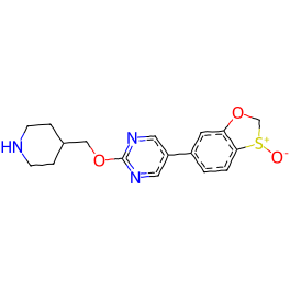 [O-][S+]1COc2cc(-c3cnc(OCC4CCNCC4)nc3)ccc21